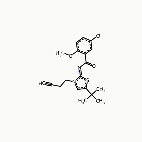 C#CCCn1cc(C(C)(C)C)s/c1=N\C(=O)c1cc(Cl)ccc1OC